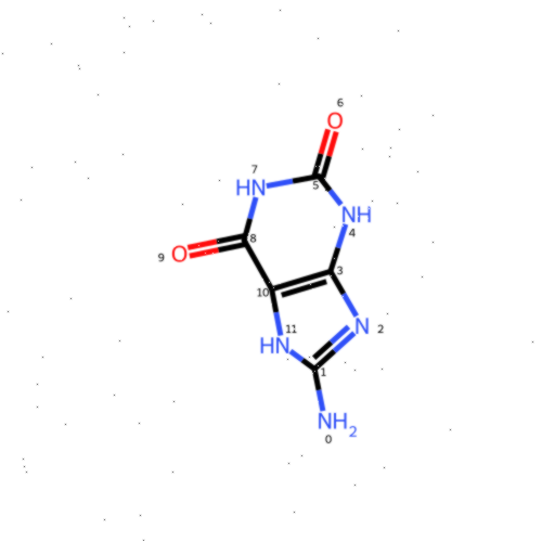 Nc1nc2[nH]c(=O)[nH]c(=O)c2[nH]1